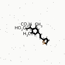 Cc1cc(C=Cc2cccs2)cc(C)c1C(CC(=O)O)C(=O)O